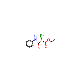 CCOC(=O)C(Br)C(=O)Nc1ccccc1